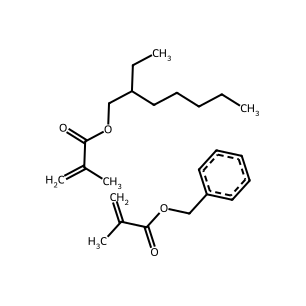 C=C(C)C(=O)OCC(CC)CCCCC.C=C(C)C(=O)OCc1ccccc1